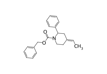 CC=C1CCN(C(=O)OCc2ccccc2)C(c2ccccc2)C1